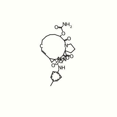 Cc1ccc(NS(=O)(=O)C23CC2C=CCCCCCC(OC(N)=O)C(=O)N2CCCC2(C(N)=O)C(=O)N3)cc1